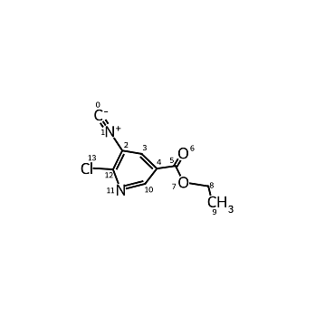 [C-]#[N+]c1cc(C(=O)OCC)cnc1Cl